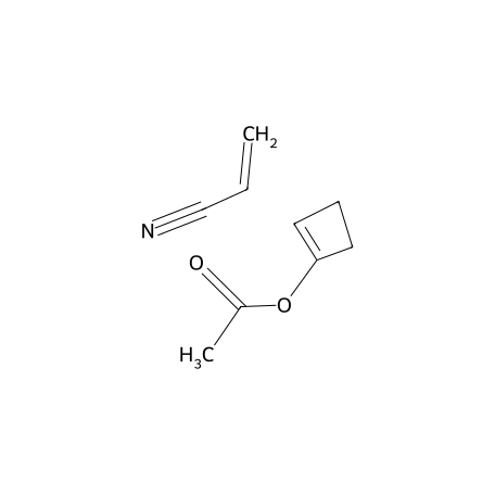 C=CC#N.CC(=O)OC1=CCC1